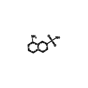 [NH]S(=O)(=O)c1ccc2cccc(N)c2c1